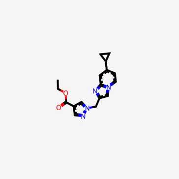 CCOC(=O)c1cnn(Cc2cn3ccc(C4CC4)cc3n2)c1